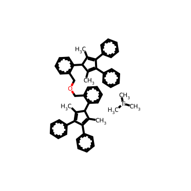 CC1=C(c2ccccc2)C(c2ccccc2)=C(C)C1c1ccccc1COCc1ccccc1C1C(C)=C(c2ccccc2)C(c2ccccc2)=C1C.[CH3][Ti]([CH3])[CH3]